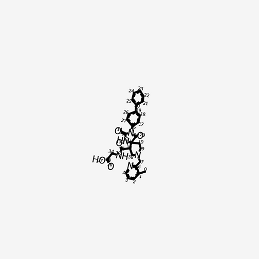 Cc1cccnc1CN1CCC2(NC(=O)N(c3ccc(-c4ccccc4)cc3)C2=O)C(C(=O)NCC(=O)O)C1